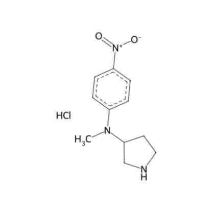 CN(c1ccc([N+](=O)[O-])cc1)C1CCNC1.Cl